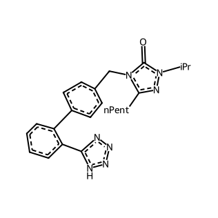 CCCCCc1nn(C(C)C)c(=O)n1Cc1ccc(-c2ccccc2-c2nnn[nH]2)cc1